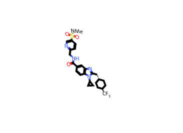 CNS(=O)(=O)c1ccc(CNC(=O)c2ccc3c(c2)nc(C[C@H]2CC[C@H](C(F)(F)F)CC2)n3C2CC2)nc1